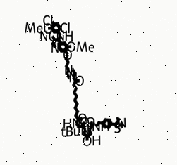 COc1cc(Nc2c(C#N)cnc3cc(OCCCN4CCN(C(=O)CCCCCCCCCC(=O)NC(C(=O)N5CC(O)CC5C(=O)NCc5ccc(-c6scnc6C)cc5)C(C)(C)C)CC4)c(OC)cc23)c(Cl)cc1Cl